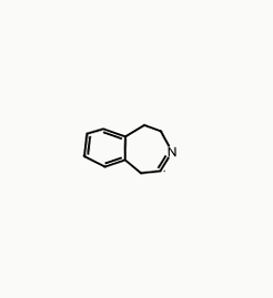 [C]1=NCCc2ccccc2C1